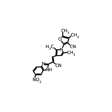 Cc1oc(-n2c(C)cc(C=C(C#N)c3nc4ccc([N+](=O)[O-])cc4[nH]3)c2C)c(C#N)c1C